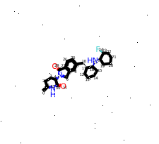 C=C1CCC(N2Cc3cc(C[C@H]4CCCC[C@@H]4N[C@H]4CCCC[C@@H]4F)ccc3C2=O)C(=O)N1